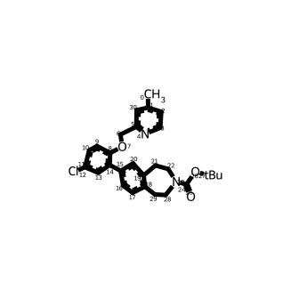 Cc1ccnc(COc2ccc(Cl)cc2-c2ccc3c(c2)CCN(C(=O)OC(C)(C)C)CC3)c1